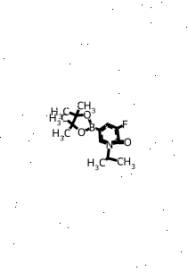 CC(C)n1cc(B2OC(C)(C)C(C)(C)O2)cc(F)c1=O